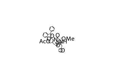 COC[C@@]1(NC(=O)Cc2ccco2)C(=O)N2C(C(=O)OC(c3ccccc3)c3ccccc3)=C(COC(C)=O)CS[C@@H]21